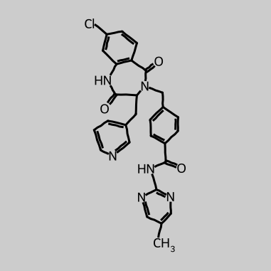 Cc1cnc(NC(=O)c2ccc(CN3C(=O)c4ccc(Cl)cc4NC(=O)C3Cc3cccnc3)cc2)nc1